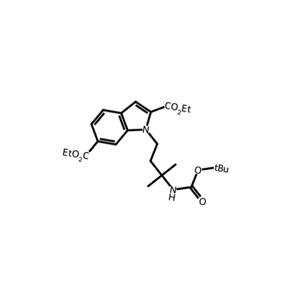 CCOC(=O)c1ccc2cc(C(=O)OCC)n(CCC(C)(C)NC(=O)OC(C)(C)C)c2c1